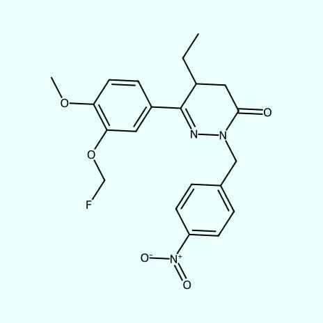 CCC1CC(=O)N(Cc2ccc([N+](=O)[O-])cc2)N=C1c1ccc(OC)c(OCF)c1